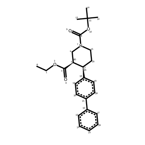 CCOC(=O)[C@H]1CN(C(=O)OC(C)(C)C)CC[C@H]1c1ccc(-c2ccccc2)cc1